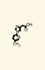 Cc1ccc(-n2cnc(CC(=O)O)c2)nc1